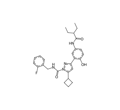 CCC(CC)C(=O)Nc1ccc(O)c(-c2cc(C3CCC3)n(C(=O)NCc3ccccc3F)n2)c1